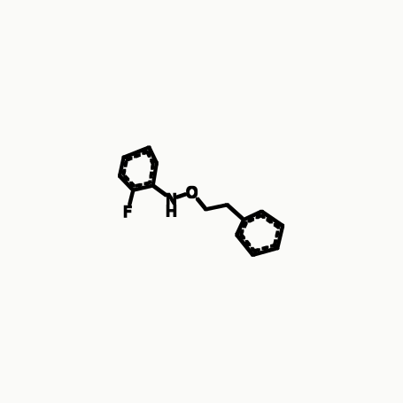 Fc1ccccc1NOCCc1ccccc1